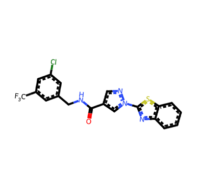 O=C(NCc1cc(Cl)cc(C(F)(F)F)c1)c1cnn(-c2nc3ccccc3s2)c1